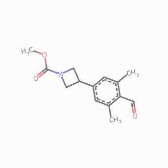 COC(=O)N1CC(c2cc(C)c(C=O)c(C)c2)C1